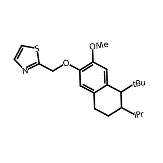 COc1cc2c(cc1OCc1nccs1)CCC(C(C)C)C2C(C)(C)C